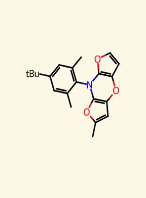 Cc1cc2c(o1)N(c1c(C)cc(C(C)(C)C)cc1C)c1occc1O2